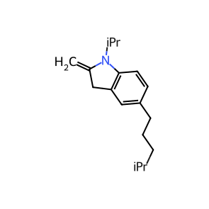 C=C1Cc2cc(CCCC(C)C)ccc2N1C(C)C